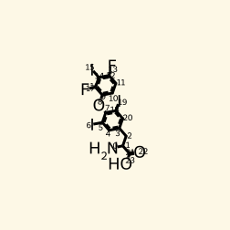 NC(Cc1cc(I)c(Oc2ccc(F)c(I)c2F)c(I)c1)C(=O)O